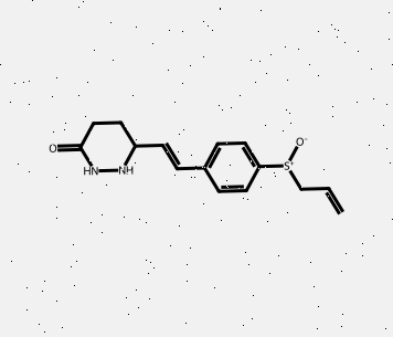 C=CC[S+]([O-])c1ccc(/C=C/C2CCC(=O)NN2)cc1